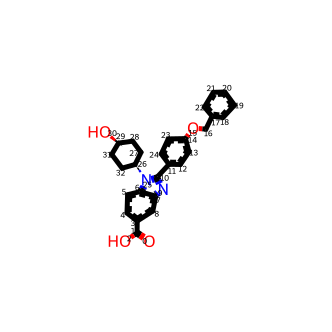 O=C(O)c1ccc2c(c1)nc(-c1ccc(OCc3ccccc3)cc1)n2[C@H]1CC[C@H](O)CC1